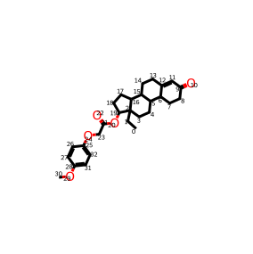 CCC12CCC3C4CCC(=O)C=C4CCC3C1CCC2OC(=O)COc1ccc(OC)cc1